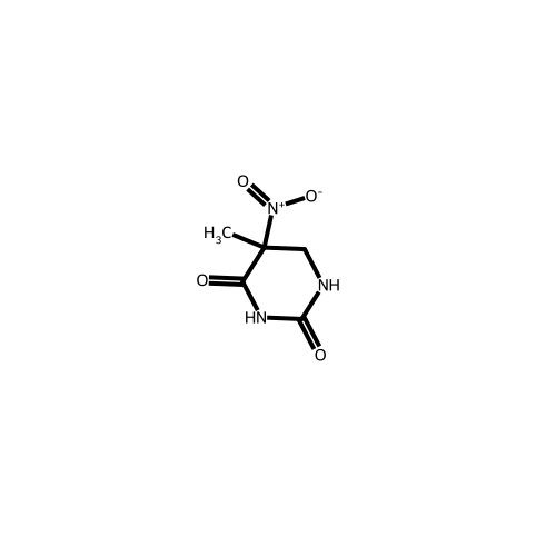 CC1([N+](=O)[O-])CNC(=O)NC1=O